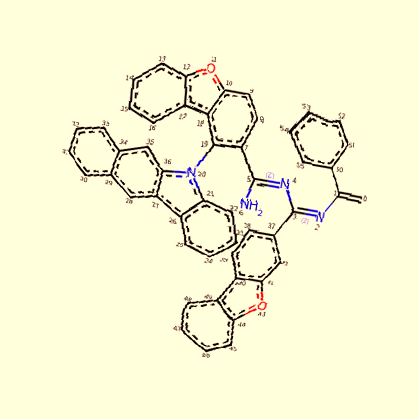 C=C(/N=C(\N=C(/N)c1ccc2oc3ccccc3c2c1-n1c2ccccc2c2cc3ccccc3cc21)c1ccc2c(c1)oc1ccccc12)c1ccccc1